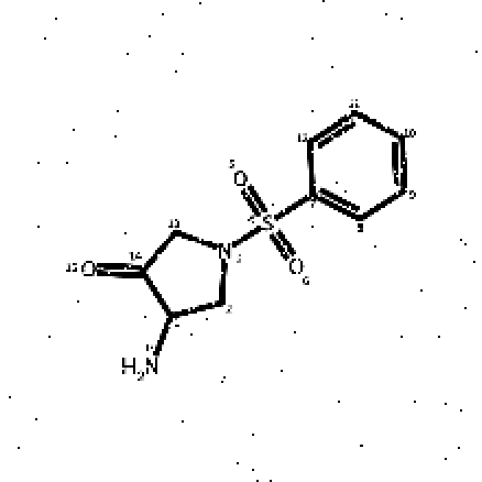 NC1CN(S(=O)(=O)c2ccccc2)CC1=O